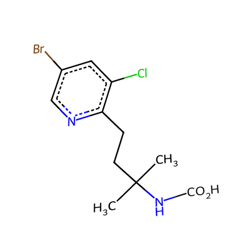 CC(C)(CCc1ncc(Br)cc1Cl)NC(=O)O